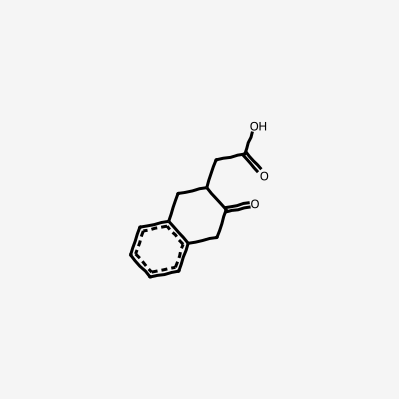 O=C(O)CC1Cc2ccccc2CC1=O